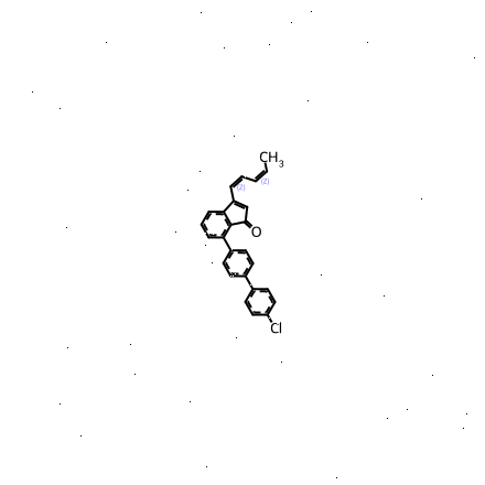 C/C=C\C=C/C1=CC(=O)c2c1cccc2-c1ccc(-c2ccc(Cl)cc2)cc1